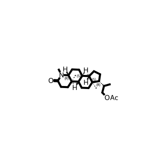 CC(=O)OCC(C)[C@H]1CC[C@H]2[C@@H]3CC[C@H]4N(C)C(=O)CC[C@]4(C)[C@H]3CC[C@]12C